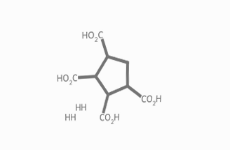 O=C(O)C1CC(C(=O)O)C(C(=O)O)C1C(=O)O.[HH].[HH]